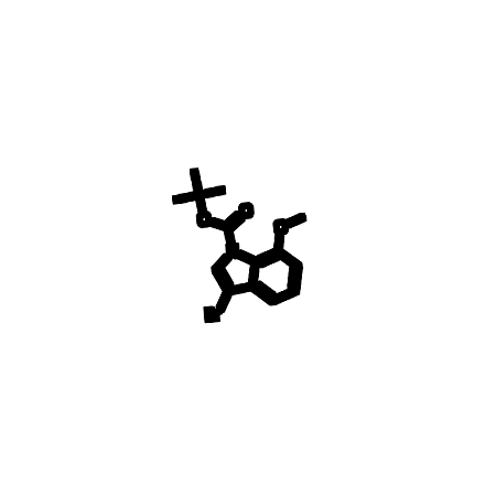 COc1cccc2c(Br)cn(C(=O)OC(C)(C)C)c12